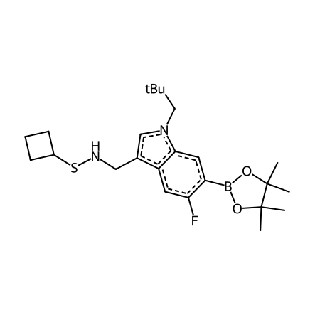 CC(C)(C)Cn1cc(CNSC2CCC2)c2cc(F)c(B3OC(C)(C)C(C)(C)O3)cc21